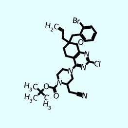 C=CCC1(Cc2ccccc2Br)CCc2c(nc(Cl)nc2N2CCN(C(=O)OC(C)(C)C)C(CC#N)C2)C1=O